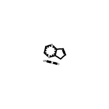 C1=Cc2nccnc2C1.N=C=O